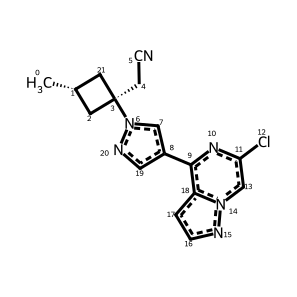 C[C@H]1C[C@](CC#N)(n2cc(-c3nc(Cl)cn4nccc34)cn2)C1